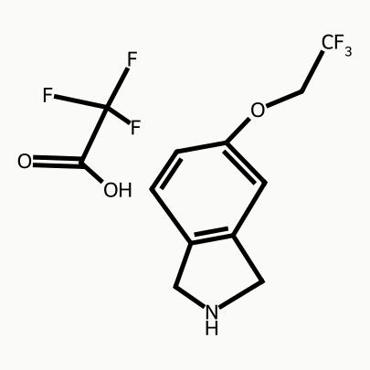 FC(F)(F)COc1ccc2c(c1)CNC2.O=C(O)C(F)(F)F